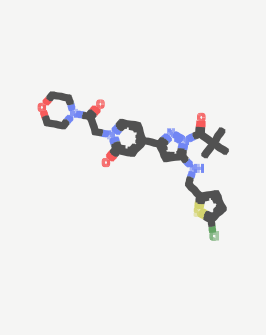 CC(C)(C)C(=O)n1nc(-c2ccn(CC(=O)N3CCOCC3)c(=O)c2)cc1NCc1ccc(Cl)s1